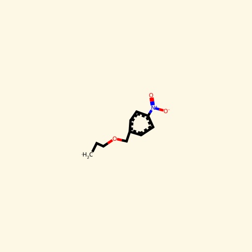 [CH2]CCOCc1ccc([N+](=O)[O-])cc1